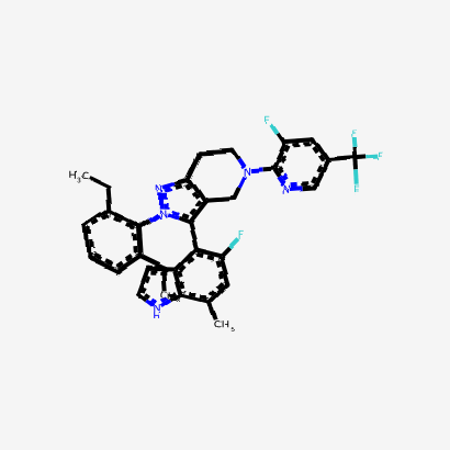 CCc1cccc(CC)c1-n1nc2c(c1-c1c(F)cc(C)c3[nH]ccc13)CN(c1ncc(C(F)(F)F)cc1F)CC2